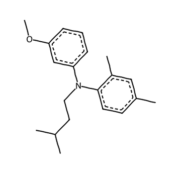 COc1cccc(N(CCC(C)C)c2ccc(C)cc2C)c1